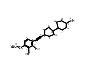 CCCCOc1ccc(C#CC2CCC(C3CCC(CCC)CC3)CC2)c(F)c1F